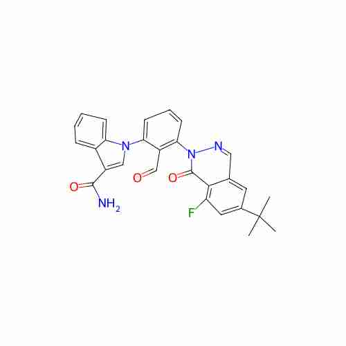 CC(C)(C)c1cc(F)c2c(=O)n(-c3cccc(-n4cc(C(N)=O)c5ccccc54)c3C=O)ncc2c1